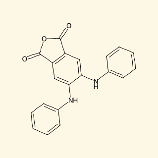 O=C1OC(=O)c2cc(Nc3ccccc3)c(Nc3ccccc3)cc21